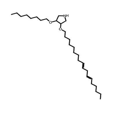 CCCCCC=CCC=CCCCCCCCCOC1CNCC1OCCCCCCCC